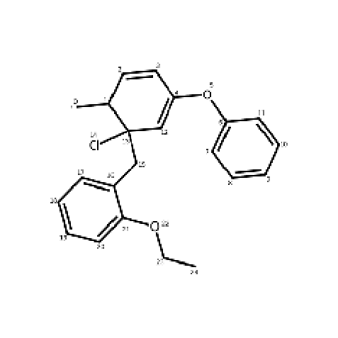 [CH2]C1C=CC(Oc2ccccc2)=CC1(Cl)Cc1ccccc1OCC